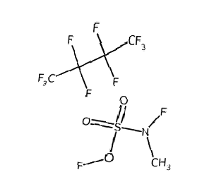 CN(F)S(=O)(=O)OF.FC(F)(F)C(F)(F)C(F)(F)C(F)(F)F